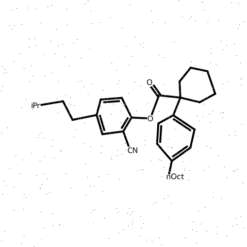 CCCCCCCCc1ccc(C2(C(=O)Oc3ccc(CCC(C)C)cc3C#N)CCCCC2)cc1